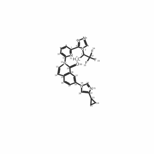 CC(n1cnnc1-c1cccc(-n2ccc3ccc(-n4cnc(C5CC5)c4)cc3c2=O)n1)C(F)(F)F